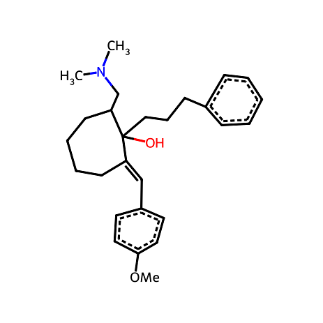 COc1ccc(C=C2CCCCC(CN(C)C)C2(O)CCCc2ccccc2)cc1